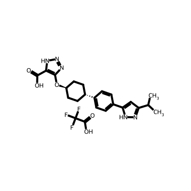 CC(C)c1cc(-c2ccc([C@H]3CC[C@H](Oc4nn[nH]c4C(=O)O)CC3)cc2)[nH]n1.O=C(O)C(F)(F)F